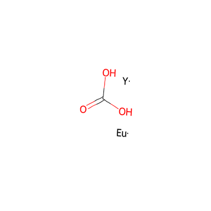 O=C(O)O.[Eu].[Y]